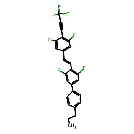 CCCc1ccc(-c2cc(F)c(/C=C/c3cc(F)c(C#CC(F)(F)F)c(F)c3)c(F)c2)cc1